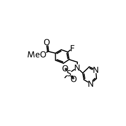 COC(=O)c1ccc(CN(c2cncnc2)S(C)(=O)=O)c(F)c1